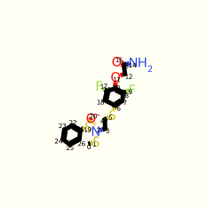 CSN(CCSc1cc(F)c(OCC(N)=O)c(F)c1)[S+]([O-])c1ccccc1